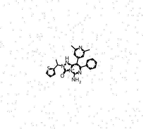 Cc1cc(-c2c(-c3ccccc3)nc(N)[n+]3c(=O)n(C(C)c4cccs4)[nH]c23)cc(C)n1